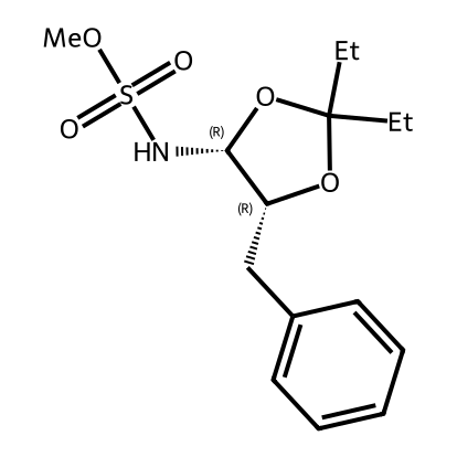 CCC1(CC)O[C@@H](NS(=O)(=O)OC)[C@@H](Cc2ccccc2)O1